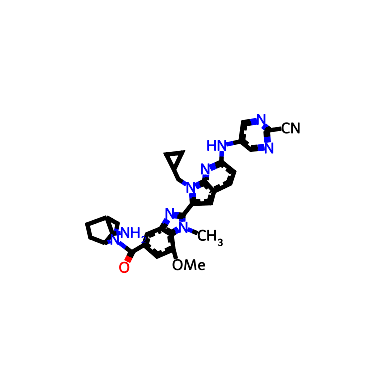 COc1cc(C(=O)N2CC3CCC2C3N)cc2nc(-c3cc4ccc(Nc5cnc(C#N)nc5)nc4n3CC3CC3)n(C)c12